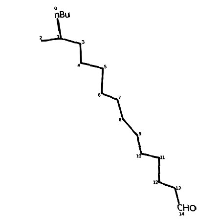 CCCCC(C)CCCCCCCCCCCC=O